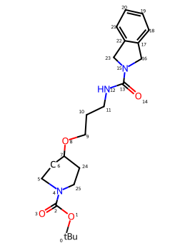 CC(C)(C)OC(=O)N1CCC(OCCCNC(=O)N2Cc3ccccc3C2)CC1